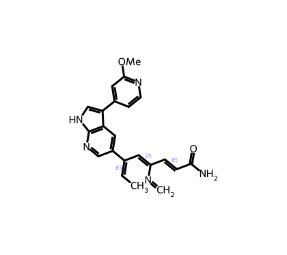 C=NC(=C\C(=C/C)c1cnc2[nH]cc(-c3ccnc(OC)c3)c2c1)/C=C/C(N)=O